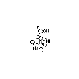 O=C(Cc1ccccc1)Nc1cncc(-c2ccc3[nH]nc(-c4nc5c(-c6cc(O)cc(F)c6)nccc5[nH]4)c3n2)c1